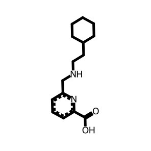 O=C(O)c1cccc(CNCCC2CCCCC2)n1